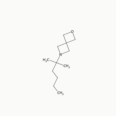 CCCCC(C)(C)N1CC2(COC2)C1